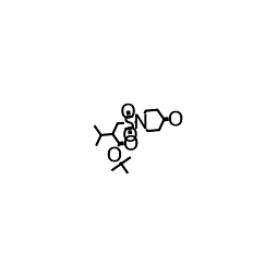 CC(C)C(CS(=O)(=O)N1CCC(=O)CC1)C(=O)OC(C)(C)C